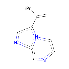 C=C(c1cnc2cnccn12)C(C)C